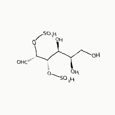 O=C[C@H](OS(=O)(=O)O)[C@@H](OS(=O)(=O)O)[C@@H](O)[C@H](O)CO